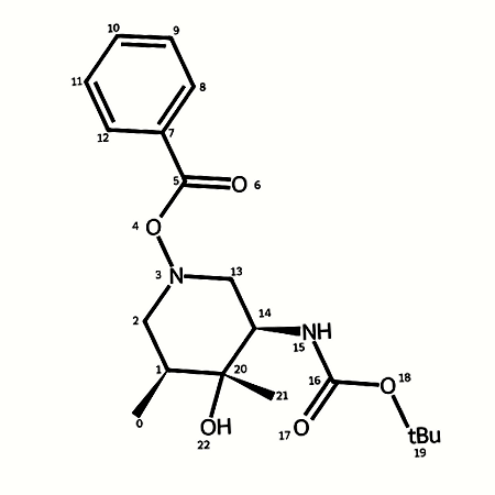 C[C@H]1CN(OC(=O)c2ccccc2)C[C@@H](NC(=O)OC(C)(C)C)[C@]1(C)O